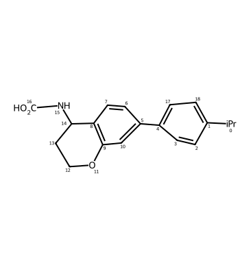 CC(C)c1ccc(-c2ccc3c(c2)OCCC3NC(=O)O)cc1